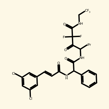 CC(C)C(NC(=O)C(NC(=O)/C=C/c1cc(Cl)cc(Cl)c1)c1ccccc1)C(=O)C(F)(F)C(=O)NCC(F)(F)F